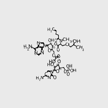 C=CCCC(=O)N(C)C(COCC(C)O)C(=O)O[C@H]1[C@@H](O)[C@H](n2cnc3c(N)ncnc32)O[C@@H]1COP(=O)(O)O[C@H]1[C@@H](O)[C@H](n2ccc(N)nc2=O)O[C@@H]1COP(=O)(O)O